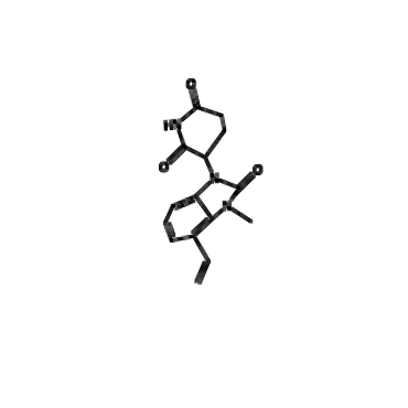 C=Cc1cccc2c1n(C)c(=O)n2C1CCC(=O)NC1=O